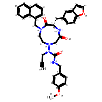 C#CCN(C(=O)NCc1ccc(OC)cc1)N1CCN(Cc2cccc3ccccc23)C(=O)[C@H](Cc2ccc3occc3c2)NC(=O)C1